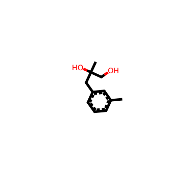 Cc1cccc(CC(C)(O)CO)c1